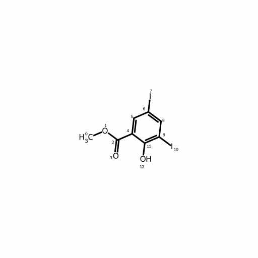 COC(=O)c1cc(I)cc(I)c1O